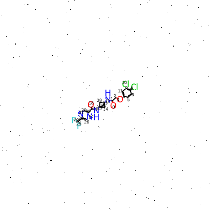 O=C(COc1ccc(Cl)c(Cl)c1)NC12CC(NC(=O)c3cnc(C(F)F)cn3)(C1)C2